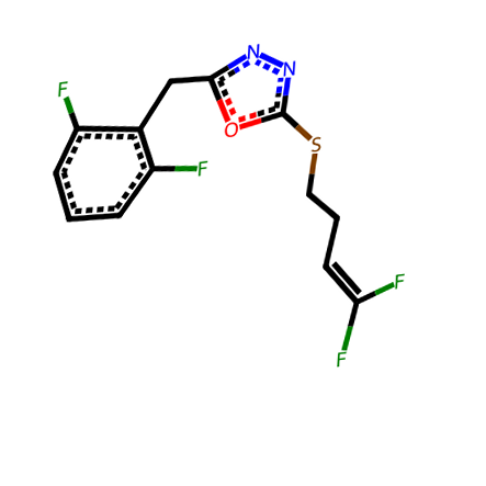 FC(F)=CCCSc1nnc(Cc2c(F)cccc2F)o1